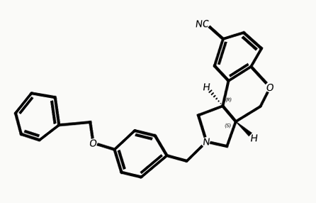 N#Cc1ccc2c(c1)[C@@H]1CN(Cc3ccc(OCc4ccccc4)cc3)C[C@H]1CO2